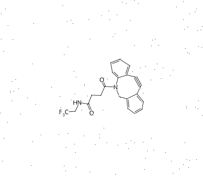 O=C(CCC(=O)N1Cc2ccccc2C#Cc2ccccc21)NCC(F)(F)F